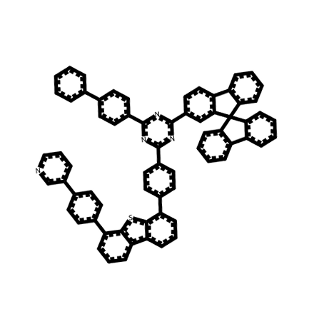 c1ccc(-c2ccc(-c3nc(-c4ccc(-c5cccc6c5sc5c(-c7ccc(-c8cccnc8)cc7)cccc56)cc4)nc(-c4ccc5c(c4)C4(c6ccccc6-c6ccccc64)c4ccccc4-5)n3)cc2)cc1